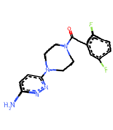 Nc1ccc(N2CCN(C(=O)c3cc(F)ccc3F)CC2)nn1